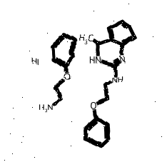 CC1NC(NCCOc2ccccc2)=Nc2ccccc21.I.NCCOc1ccccc1